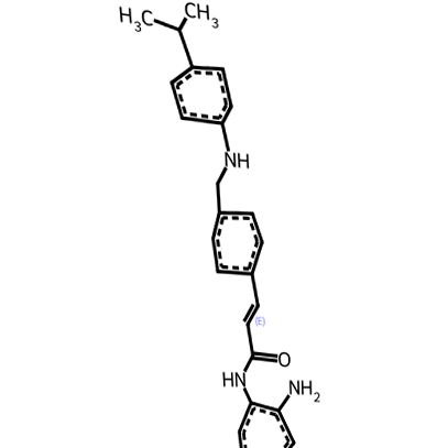 CC(C)c1ccc(NCc2ccc(/C=C/C(=O)Nc3ccccc3N)cc2)cc1